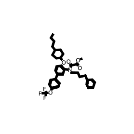 CCCCC1CCC(Oc2ccc(-c3ccc(OC(F)(F)F)cc3)cc2N(CCCCc2ccccc2)C(=O)C(=O)OC)CC1